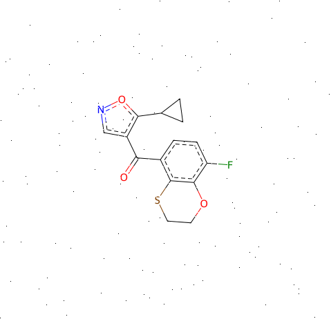 O=C(c1cnoc1C1CC1)c1ccc(F)c2c1SCCO2